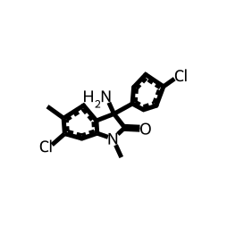 Cc1cc2c(cc1Cl)N(C)C(=O)C2(N)c1ccc(Cl)cc1